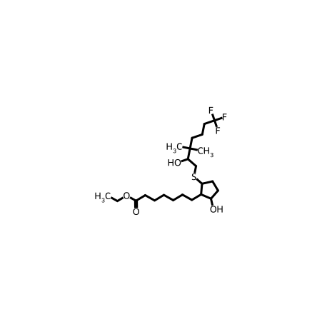 CCOC(=O)CCCCCCC1C(O)CCC1SCC(O)C(C)(C)CCCC(F)(F)F